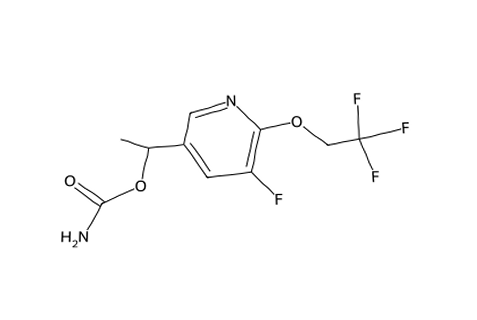 CC(OC(N)=O)c1cnc(OCC(F)(F)F)c(F)c1